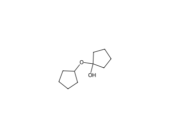 OC1(OC2CCCC2)CCCC1